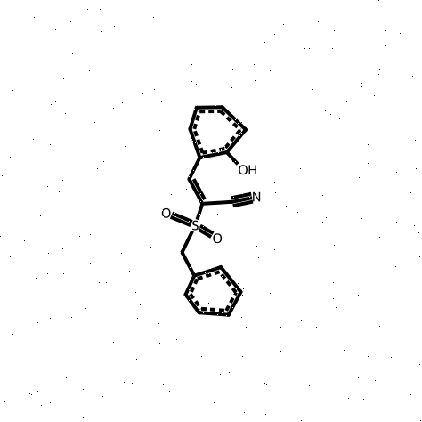 N#CC(=Cc1ccccc1O)S(=O)(=O)Cc1ccccc1